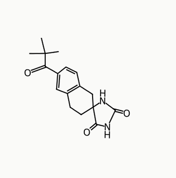 CC(C)(C)C(=O)c1ccc2c(c1)CCC1(C2)NC(=O)NC1=O